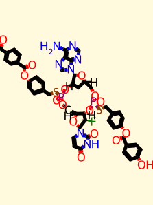 Nc1ncnc2c1ncn2[C@@H]1O[C@@H]2COP(=O)(SCc3ccc(OC(=O)c4ccc(O)cc4)cc3)O[C@H]3[C@@H](F)[C@H](n4ccc(=O)[nH]c4=O)O[C@@H]3COP(=O)(SCc3ccc(OC(=O)c4ccc(C=O)cc4)cc3)O[C@@H]1C2